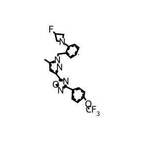 Cc1cc(-c2nc(-c3ccc(OC(F)(F)F)cc3)no2)nn1Cc1c[c]ccc1N1CC(F)C1